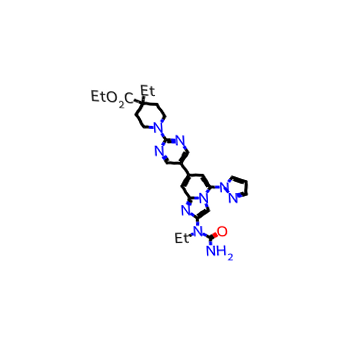 CCOC(=O)C1(CC)CCN(c2ncc(-c3cc(-n4cccn4)n4cc(N(CC)C(N)=O)nc4c3)cn2)CC1